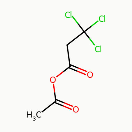 CC(=O)OC(=O)CC(Cl)(Cl)Cl